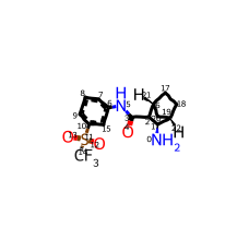 N[C@H]1C(C(=O)Nc2cccc(S(=O)(=O)C(F)(F)F)c2)[C@@H]2CC[C@H]1C2